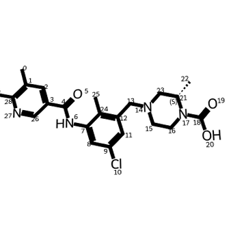 Cc1cc(C(=O)Nc2cc(Cl)cc(CN3CCN(C(=O)O)[C@@H](C)C3)c2C)cnc1C